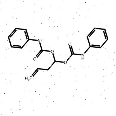 C=CCC(OC(=O)Nc1ccccc1)OC(=O)Nc1ccccc1